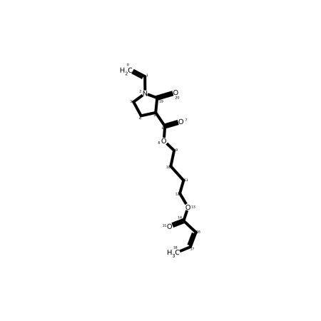 C=CN1CCC(C(=O)OCCCCOC(=O)/C=C\C)C1=O